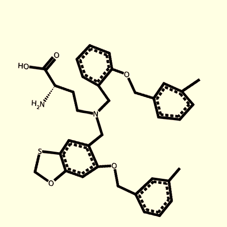 Cc1cccc(COc2ccccc2CN(CC[C@H](N)C(=O)O)Cc2cc3c(cc2OCc2cccc(C)c2)OCS3)c1